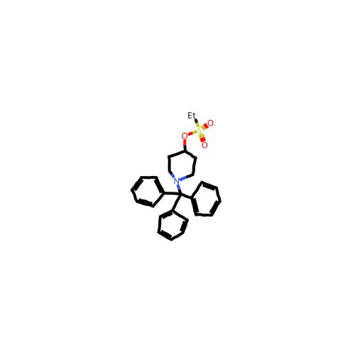 CCS(=O)(=O)OC1CCN(C(c2ccccc2)(c2ccccc2)c2ccccc2)CC1